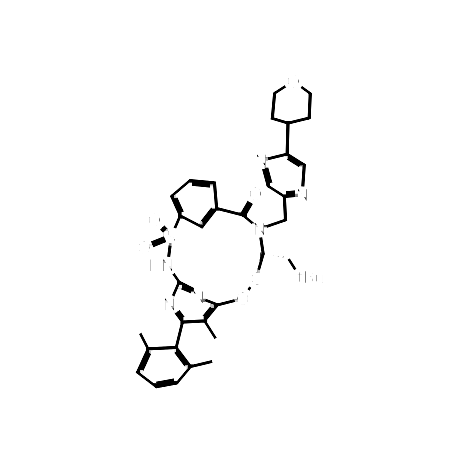 Cc1cccc(C)c1-c1nc2nc(c1C)OC[C@@H](CC(C)(C)C)N(Cc1cnc(C3CCOCC3)cn1)C(=O)c1cccc(c1)S(=O)(=O)N2